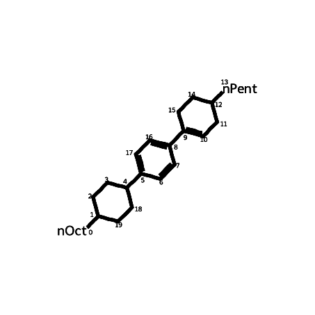 CCCCCCCCC1CCC(c2ccc(C3=CCC(CCCCC)CC3)cc2)CC1